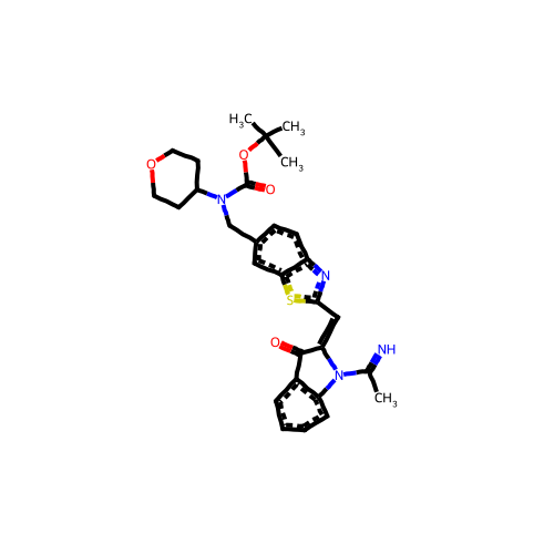 CC(=N)N1/C(=C/c2nc3ccc(CN(C(=O)OC(C)(C)C)C4CCOCC4)cc3s2)C(=O)c2ccccc21